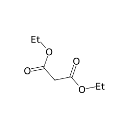 [CH2]COC(=O)CC(=O)OCC